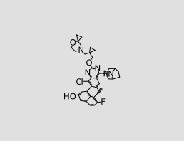 C#Cc1c(F)ccc2cc(O)cc(-c3c(C)cc4c(N5CC6CCC(C5)N6)nc(OCC5(CN6CCOC7(CC7)C6)CC5)nc4c3Cl)c12